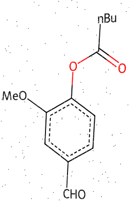 [CH2]CCCC(=O)Oc1ccc(C=O)cc1OC